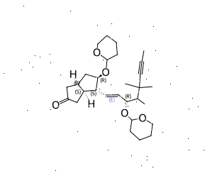 CC#CC(C)(C)C(C)[C@@H](/C=C/[C@@H]1[C@H]2CC(=O)C[C@H]2C[C@H]1OC1CCCCO1)OC1CCCCO1